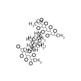 CCC(CC(CC(CC(CC(CC(CC)c1ccccc1)c1ccccc1)c1ccc(NC(=O)CC(C)(C)C2=C(C)C(=O)C(C(C)(C)CC(=O)Nc3ccc(C(CC(CC(CC(CC)c4ccccc4)c4ccccc4)c4ccccc4)CC(CC(CC(CC(C)C)c4ccccc4)c4ccccc4)c4ccccc4)cc3)=C(C)C2=O)cc1)c1ccccc1)c1ccccc1)c1ccccc1